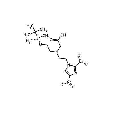 CC(C)(C)[Si](C)(C)OCCN(CCn1cc([N+](=O)[O-])nc1[N+](=O)[O-])CC(=O)O